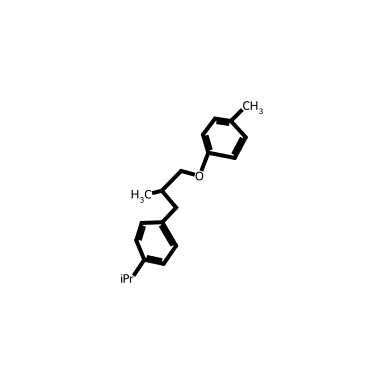 Cc1ccc(OCC(C)Cc2ccc(C(C)C)cc2)cc1